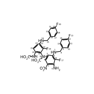 Nc1c([N+](=O)[O-])ccc(NCc2ccc(F)cc2)c1F.O=C(O)Nc1ccc(NCc2ccc(F)cc2)c(F)c1NC(=O)O